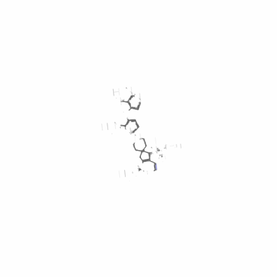 C=NC1=C(/C=C\C)[C@@H](N[S@+]([O-])C(C)(C)C)C2(CCN(c3ccc(Sc4ccnc(N)c4Cl)c(N)n3)CC2)C1